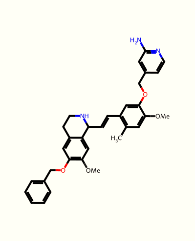 COc1cc(C)c(/C=C/C2NCCc3cc(OCc4ccccc4)c(OC)cc32)cc1OCc1ccnc(N)c1